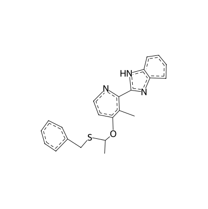 Cc1c(OC(C)SCc2ccccc2)ccnc1-c1nc2ccccc2[nH]1